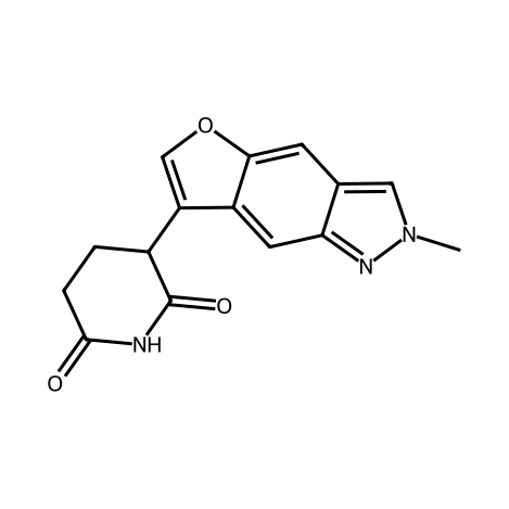 Cn1cc2cc3occ(C4CCC(=O)NC4=O)c3cc2n1